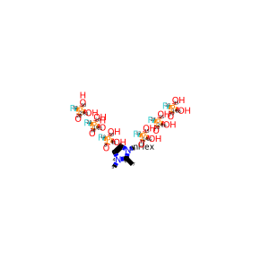 CCCCCCN1C=CN(C)C1C.O=P(O)(O)F.O=P(O)(O)F.O=P(O)(O)F.O=P(O)(O)F.O=P(O)(O)F.O=P(O)(O)F